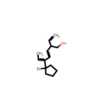 C=CC(C=C/C(=C\C)C1(CC)CCCC1)CO